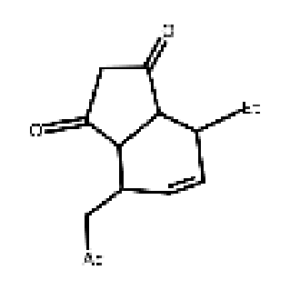 CCC1C=CC(CC(C)=O)C2C(=O)CC(=O)C12